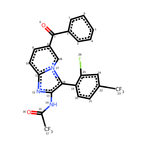 O=C(c1ccccc1)c1ccc2nc(NC(=O)C(F)(F)F)c(-c3ccc(C(F)(F)F)cc3F)n2c1